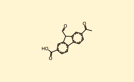 CC(=O)c1ccc2c(c1)C(C=O)c1cc(C(=O)O)ccc1-2